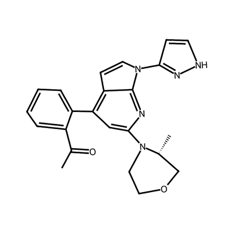 CC(=O)c1ccccc1-c1cc(N2CCOC[C@H]2C)nc2c1ccn2-c1cc[nH]n1